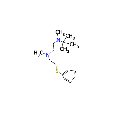 CN(CCSc1ccccc1)CCN(C)C(C)(C)C